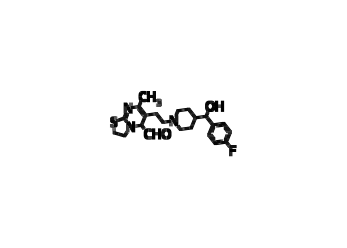 CC1=C(CCN2CCC(C(O)c3ccc(F)cc3)CC2)C(C=O)N2CCSC2=N1